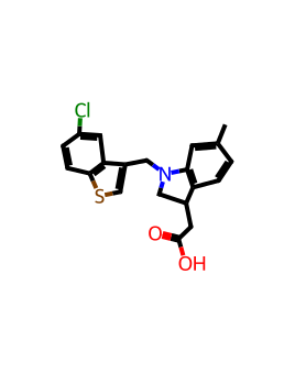 Cc1ccc2c(c1)N(Cc1csc3ccc(Cl)cc13)CC2CC(=O)O